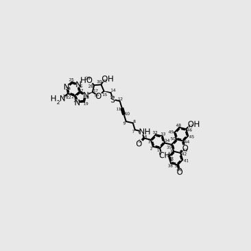 Cc1cc(C(=O)NCCCC#CCSC[C@H]2O[C@@H](n3cnc4c(N)ncnc43)C(O)C2O)ccc1-c1c2ccc(=O)cc-2oc2cc(O)ccc12